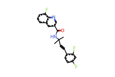 CC(C)(C#Cc1ccc(F)cc1F)NC(=O)c1cnc2c(F)cccc2c1